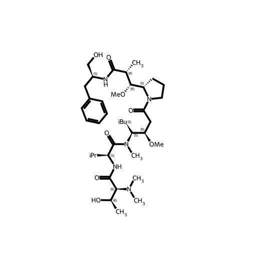 CC[C@H](C)[C@@H]([C@@H](CC(=O)N1CCC[C@H]1[C@H](OC)[C@@H](C)C(=O)N[C@H](CO)Cc1ccccc1)OC)N(C)C(=O)[C@@H](NC(=O)[C@H]([C@@H](C)O)N(C)C)C(C)C